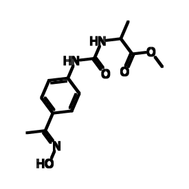 COC(=O)C(C)NC(=O)Nc1ccc(C(C)=NO)cc1